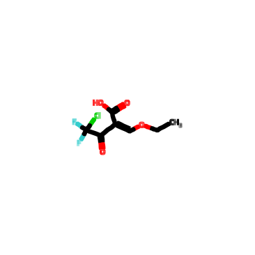 CCOC=C(C(=O)O)C(=O)C(F)(F)Cl